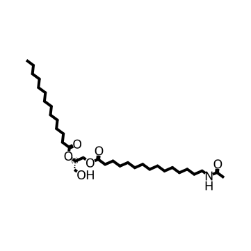 CCCCCCCCCCCCCC(=O)O[C@@H](CO)COC(=O)CCCCCCCCCCCCCCNC(C)=O